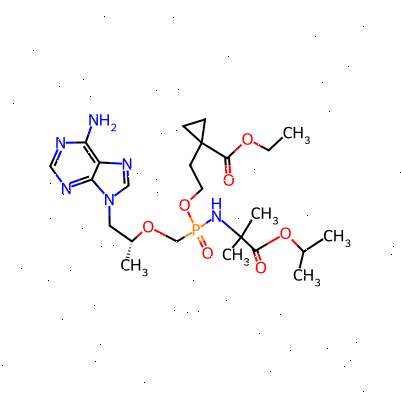 CCOC(=O)C1(CCOP(=O)(CO[C@H](C)Cn2cnc3c(N)ncnc32)NC(C)(C)C(=O)OC(C)C)CC1